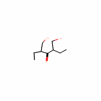 CCC(CO)C(=O)C(CC)CO